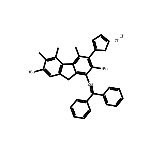 Cc1c(C(C)(C)C)cc2c(c1C)-c1c(C)c(C3=CC=CC3)c(C(C)(C)C)[c]([Zr+2]=[C](c3ccccc3)c3ccccc3)c1C2.[Cl-].[Cl-]